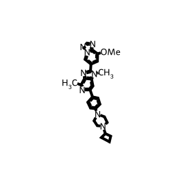 COc1cc(-c2nc3c(C)nc(-c4ccc(N5CCN(C6CCC6)CC5)cc4)cc3n2C)cn2ncnc12